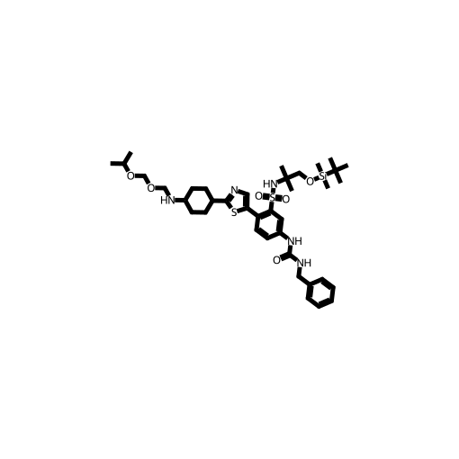 CC(C)OCOCNC1CCC(c2ncc(-c3ccc(NC(=O)NCc4ccccc4)cc3S(=O)(=O)NC(C)(C)CO[Si](C)(C)C(C)(C)C)s2)CC1